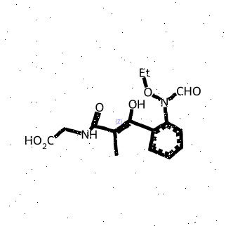 CCON(C=O)c1ccccc1/C(O)=C(\C)C(=O)NCC(=O)O